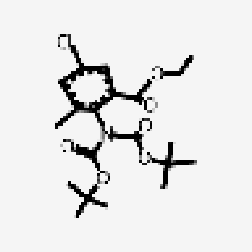 CCOC(=O)c1cc(Cl)cc(C)c1N(C(=O)OC(C)(C)C)C(=O)OC(C)(C)C